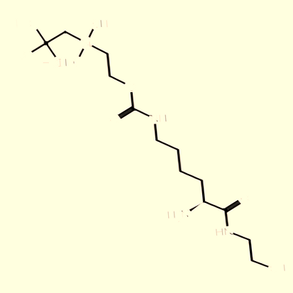 CCCNC(=O)[C@@H](N)CCCCNC(=O)OCC[Si](C)(C)CC(C)(C)C